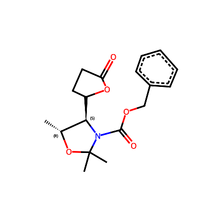 C[C@H]1OC(C)(C)N(C(=O)OCc2ccccc2)[C@@H]1C1CCC(=O)O1